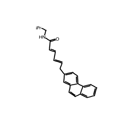 CC(C)CNC(=O)/C=C/C=C/Cc1ccc2c(ccc3ccccc32)c1